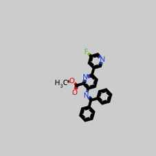 COC(=O)c1nc(-c2cncc(F)c2)ccc1N=C(c1ccccc1)c1ccccc1